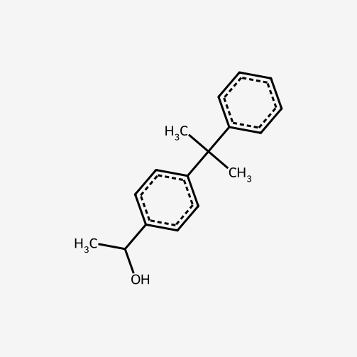 CC(O)c1ccc(C(C)(C)c2ccccc2)cc1